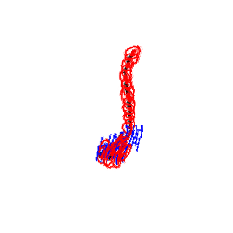 COCCOCCOCCOCCOCCOCCOCCOCCOCCOCCOCCOCCC(=O)NCCCC[C@H](NC(=O)CCN1C(=O)C=CC1=O)C(=O)N[C@H](C(=O)N[C@@H](CCCNC(=O)OC(C)(C)C)C(=O)NCC(=O)O)C(C)C